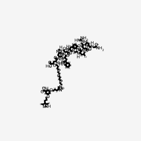 Cc1n[nH]c(C)c1CCCOc1cc(OCCCc2cn(CCOCCOCCOCCC(=O)NC(CCC(=O)O)C(=O)NC(Cc3c[nH]cn3)C(=O)NC(Cc3c[nH]c4ccccc34)C(=O)NC(CO)C(=O)NC(Cc3ccc(O)cc3)C(=O)NCC(=O)NC(CC(C)C)C(=O)NC(CCCNC(=N)N)C(=O)N3CCCC3C(=O)NCC(N)=O)nn2)cc(C(=O)O)c1